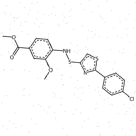 COC(=O)c1ccc(NSc2csc(-c3ccc(Cl)cc3)n2)c(OC)c1